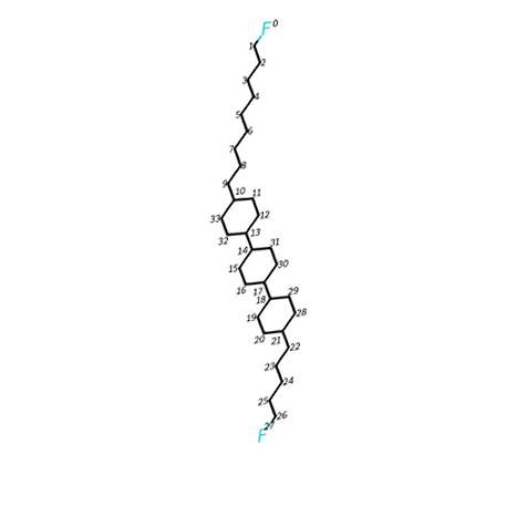 FCCCCCCCCCC1CCC(C2CCC(C3CCC(CCCCCF)CC3)CC2)CC1